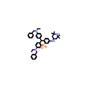 CCN(Cc1ccccc1)c1ccc(C(c2ccc(N(CC)Cc3ccccc3)cc2)c2ccc(NC3CC(C)(C)NC(C)(C)C3)cc2S(=O)(=O)O)cc1